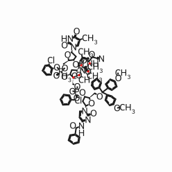 COc1ccc(C(OC[C@H]2O[C@@H](n3ccc(NC(=O)c4ccccc4)nc3=O)C[C@@H]2OP(=O)(OC[C@H]2O[C@@H](n3cc(C)c(=O)[nH]c3=O)C[C@@H]2OP(=O)(OC[C@H]2O[C@@H](n3cc(C)c(=O)[nH]c3=O)C[C@@H]2OP(OCCC#N)N(C(C)C)C(C)C)Oc2ccccc2Cl)Oc2ccccc2Cl)(c2ccccc2)c2ccc(OC)cc2)cc1